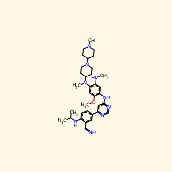 CNc1cc(Nc2cc(-c3ccc(NC(C)C)c(C=N)c3)ncn2)c(OC)cc1N(C)C1CCN(C2CCN(C)CC2)CC1